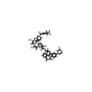 CCC(NC(=O)[C@H](C(C)C)N(C)C(=O)C1(F)CCN(C(=O)C#CC(C)(C)N(C)C)CC1)C(=O)N1CCCC(O)(C(=O)OCC(C)(C)Cc2c(-c3cccnc3[C@H](C)OC)n(CC)c3ccc(N4CCO[C@H](C)C4)cc23)N1